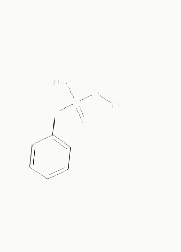 CCCCCCP(=O)(OCC)Oc1ccccc1